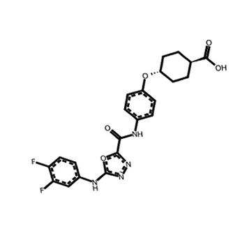 O=C(Nc1ccc(O[C@H]2CC[C@H](C(=O)O)CC2)cc1)c1nnc(Nc2ccc(F)c(F)c2)o1